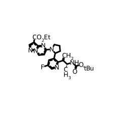 C=C(c1ncc(F)cc1C1CCCN1c1ccn2ncc(C(=O)OCC)c2n1)[C@@H](C)NC(=O)OC(C)(C)C